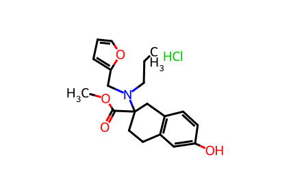 CCCN(Cc1ccco1)C1(C(=O)OC)CCc2cc(O)ccc2C1.Cl